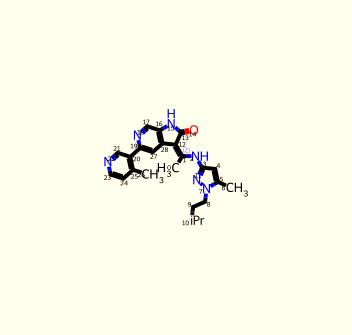 C/C(Nc1cc(C)n(CCC(C)C)n1)=C1/C(=O)Nc2cnc(-c3cnccc3C)cc21